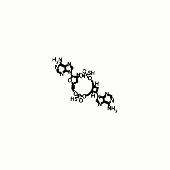 Nc1ncnc2c1ncn2[C@@H]1C[C@@H]2COP(=O)(S)O[C@@H]3C[C@@H](COP(=O)(S)OC[C@H]21)O[C@H]3n1cnc2c(N)ncnc21